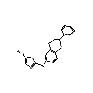 [CH2]c1cnc(Oc2ccc3c(c2)CCC(c2ccccc2)O3)s1